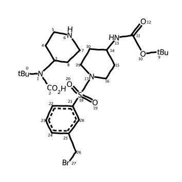 CC(C)(C)N(C(=O)O)C1CCNCC1.CC(C)(C)OC(=O)NC1CCN(S(=O)(=O)c2cccc(CBr)c2)CC1